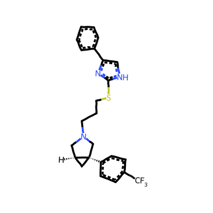 FC(F)(F)c1ccc([C@]23C[C@H]2CN(CCCSc2nc(-c4ccccc4)c[nH]2)C3)cc1